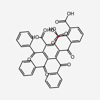 O=C(O)c1cccc(C(=O)c2c(C(=O)O)c(C(=O)O)c(C(=O)c3ccccc3)c(C(=O)c3ccccc3)c2C(=O)c2ccccc2)c1C(=O)O